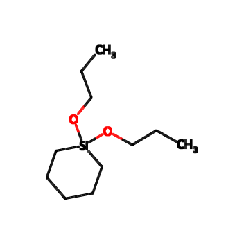 CCCO[Si]1(OCCC)CCCCC1